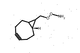 NOOCC1C2CCC#CCC[C@H]21